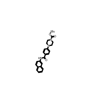 CC(C)(C)OC(=O)N1CCN(c2ccc(C(=O)Nc3ccc4ccccc4c3)cc2)CC1